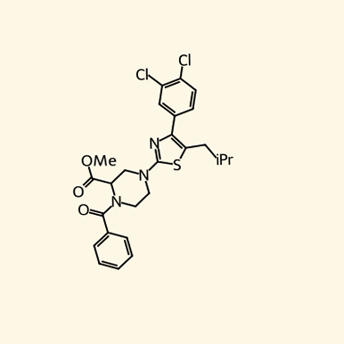 COC(=O)C1CN(c2nc(-c3ccc(Cl)c(Cl)c3)c(CC(C)C)s2)CCN1C(=O)c1ccccc1